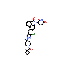 CC1(C(=O)N2CCC(C)(n3cc(Cc4ccc5c6c(cccc46)C(=O)N5C4CCC(=O)NC4=O)c(Cl)n3)CC2)CCC1